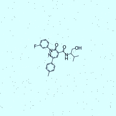 Cc1ccc(-c2cc(C(=O)NC(CO)C(C)C)c(=O)n(-c3cccc(F)c3)n2)cc1